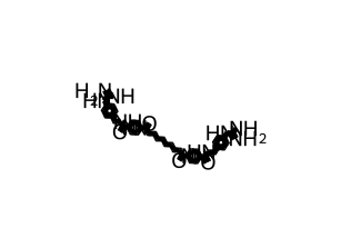 N=C(N)Nc1ccc(CNC(=O)N2CCN(C(=O)CCCCCCCCC(=O)N3CCN(C(=O)NCc4ccc(NC(=N)N)cc4)CC3)CC2)cc1